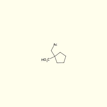 CC(=O)CC1(C(=O)O)CCCC1